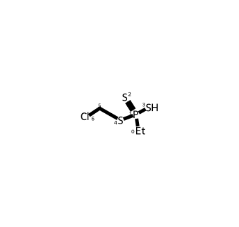 CCP(=S)(S)SCCl